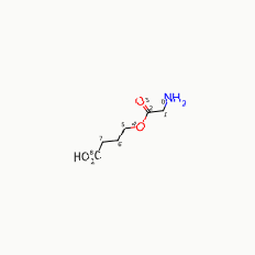 NCC(=O)OCCCC(=O)O